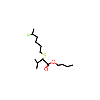 CCCCOC(=O)C(SCCCCC(C)F)C(C)C